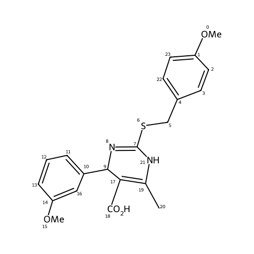 COc1ccc(CSC2=NC(c3cccc(OC)c3)C(C(=O)O)=C(C)N2)cc1